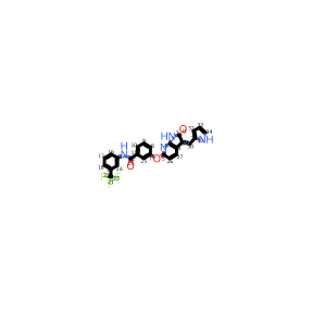 O=C1Nc2nc(Oc3cccc(C(=O)Nc4cccc(C(F)(F)F)c4)c3)ccc2/C1=C/c1ccc[nH]1